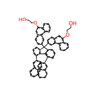 OCCOc1cc2ccc(C3(c4ccc5cc(OCCO)c6ccccc6c5c4)c4cccc(-c5ccc6ccccc6c5)c4-c4c(-c5ccc6ccccc6c5)cccc43)cc2c2ccccc12